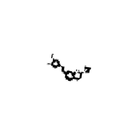 C[C@@H]1C[C@H](CCc2ccc3ccc(N4CCC4)nc3c2)C[C@@H]1F